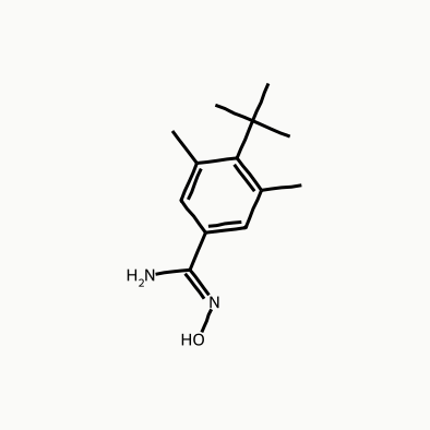 Cc1cc(/C(N)=N/O)cc(C)c1C(C)(C)C